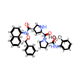 O=C(O)c1ccccc1NC(=O)[C@H]1CCCN1C(=O)[C@H]1C[C@@H](C(=O)N(OCc2ccccc2)c2cccc3ccccc23)CN1